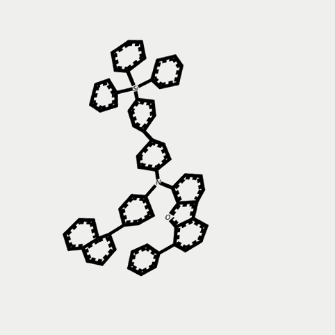 c1ccc(-c2cccc3c2oc2c(N(c4ccc(-c5ccc([Si](c6ccccc6)(c6ccccc6)c6ccccc6)cc5)cc4)c4ccc(-c5cccc6ccccc56)cc4)cccc23)cc1